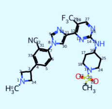 CN1CC(c2ccc(-n3cnc(-c4nc(NC5CCN(S(C)(=O)=O)CC5)ncc4C(F)(F)F)c3)c(C#N)c2)C1